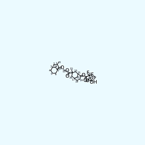 CC1CC2CCCC(=C1OCOC(=O)C1(C)CC3CCC(OC(=O)C(F)(F)S(=O)(=O)O)C(C3)C1)C2